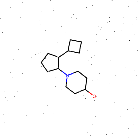 [O]C1CCN(C2CCCC2C2CCC2)CC1